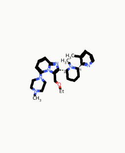 CCOCc1c([C@H]2CCC[C@@H](c3ncccc3C)N2C)nc2cccc(N3CCN(C)CC3)n12